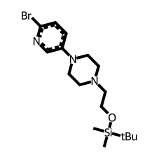 CC(C)(C)[Si](C)(C)OCCN1CCN(c2ccc(Br)nc2)CC1